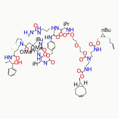 C=CCC[C@H]1[C@@H](CCCC)[C@H]1COC(=O)NCCN(CCNC(=O)OC[C@@H]1[C@@H]2CCC#CCC[C@@H]21)C(=O)OCCOCCOC(=O)N[C@H](C(=O)N[C@@H](CCCNC(N)=O)C(=O)Nc1ccc(COC(=O)N(C)[C@H](C(=O)N[C@H](C(=O)N(C)[C@@H]([C@@H](C)CC)[C@@H](CC(=O)N2CCC[C@H]2[C@H](OC)[C@@H](C)C(=O)N[C@H](C)[C@@H](O)c2ccccc2)OC)C(C)C)C(C)C)cc1)C(C)C